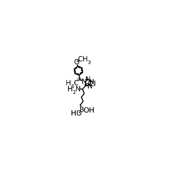 COc1ccc([C@@H](C)n2nnnc2C(N)CCCCB(O)O)cc1.Cl